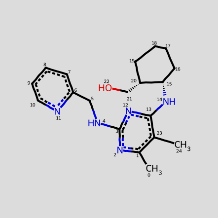 Cc1nc(NCc2ccccn2)nc(N[C@H]2CCCC[C@H]2CO)c1C